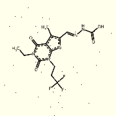 CCn1c(=O)c2c(C)c(C=NNC(=O)O)sc2n(CCC(F)(F)F)c1=O